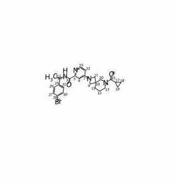 C[C@@H](NC(=O)c1cc(N2CC3(CCCN(C(=O)C4CC4)C3)C2)ccn1)c1ccc(Br)cc1